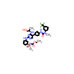 CCOC(=O)N=S(C)(=O)c1cccc(Nc2ncc(-c3ccc(NC(=O)N(C)c4cccc(C(F)(F)F)c4)cc3)c(NC(C)CO)n2)c1